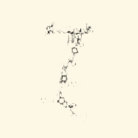 COc1cc2c(cc1OCCCOc1cc3c(cc1OC)CN(C(=O)CCC(=O)OCc1ccc(NC(=O)[C@H](CCCNC(N)=O)NC(=O)[C@@H](NC(=O)CCCCCN4C(=O)C=CC4=O)C(C)C)cc1)C3)CN(C(=O)CCC(=O)O)C2